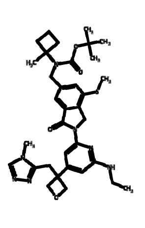 CCNc1cc(C2(Cc3nncn3C)COC2)cc(N2Cc3c(SC)cc(CN(C(=O)OC(C)(C)C)C4(C)CCC4)cc3C2=O)n1